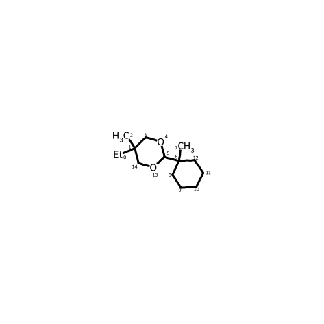 CCC1(C)COC(C2(C)CCCCC2)OC1